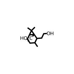 CC1CCC2C(C)(C)C2(C(=O)O)C1CCO